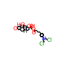 C[C@]12C=CC(=O)C=C1CC[C@@H]1[C@@H]2C(O)C[C@@]2(C)[C@H]1CC[C@]2(O)C(=O)COC(=O)CCCc1ccc(N(CCCl)CCCl)cc1